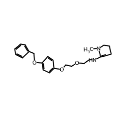 CN1CCCC=C1NCCOCCOc1ccc(OCc2ccccc2)cc1